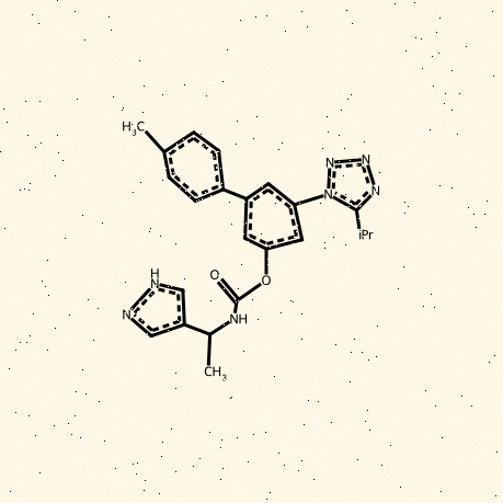 Cc1ccc(-c2cc(OC(=O)NC(C)c3cn[nH]c3)cc(-n3nnnc3C(C)C)c2)cc1